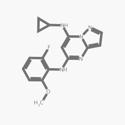 COc1cccc(F)c1Nc1cc(NC2CC2)n2nccc2n1